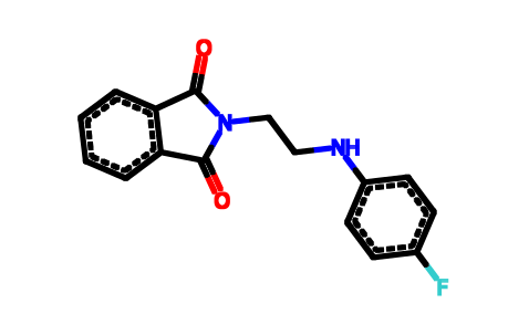 O=C1c2ccccc2C(=O)N1CCNc1ccc(F)cc1